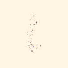 CC1(C)c2cc(C#N)ccc2-c2ccc(-c3cccc4c(-c5ccc(C(=N)/N=c6\[nH]cccc6-c6ccccc6)cc5)cccc34)cc21